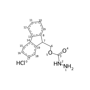 Cl.NNC(=O)OCC1c2ccccc2-c2ccccc21